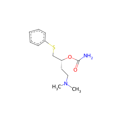 CN(C)CC[C@H](CSc1ccccc1)OC(N)=O